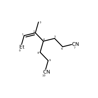 [CH2]CC=C(C)C(CCC#N)CCC#N